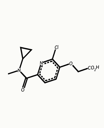 CN(C(=O)c1ccc(OCC(=O)O)c(Cl)n1)C1CC1